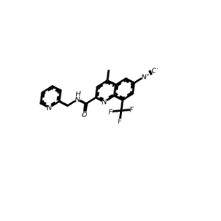 [C-]#[N+]c1cc(C(F)(F)F)c2nc(C(=O)NCc3ccccn3)cc(C)c2c1